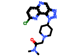 CN(C)C(=O)CN1CCC(n2nnc3cnc4ccc(Cl)nc4c32)CC1